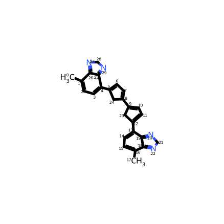 Cc1ccc(C2=CC=C(C3=CC=C(c4ccc(C)c5c4=NCN=5)C3)C2)c2c1=NCN=2